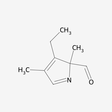 CCC1=C(C)C=NC1(C)C=O